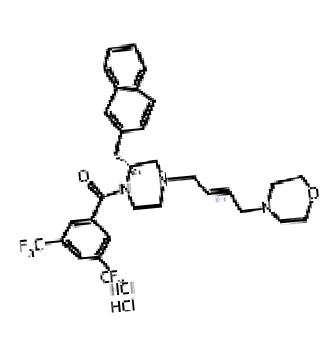 Cl.Cl.O=C(c1cc(C(F)(F)F)cc(C(F)(F)F)c1)N1CCN(C/C=C/CN2CCOCC2)C[C@H]1Cc1ccc2ccccc2c1